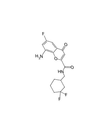 Nc1cc(F)cc2c(=O)cc(C(=O)NCC3CCCC(F)(F)C3)oc12